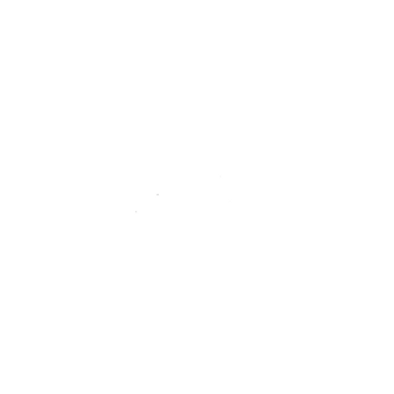 COC(=O)CC1CCN(C=O)C1